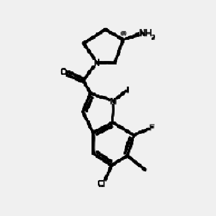 Cc1c(Cl)cc2cc(C(=O)N3CC[C@@H](N)C3)n(I)c2c1F